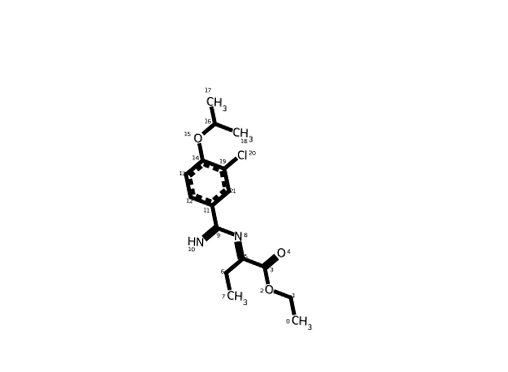 CCOC(=O)/C(CC)=N/C(=N)c1ccc(OC(C)C)c(Cl)c1